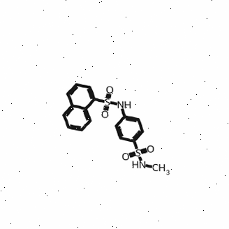 CNS(=O)(=O)c1ccc(NS(=O)(=O)c2cccc3ccccc23)cc1